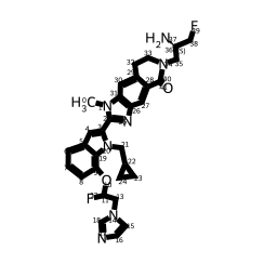 Cn1c(-c2cc3cccc(OC(F)Cn4ccnc4)c3n2CC2CC2)nc2cc3c(cc21)CCN(C[C@H](N)CF)C3=O